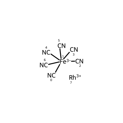 N#[C][Fe-3]([C]#N)([C]#N)([C]#N)([C]#N)[C]#N.[Rh+3]